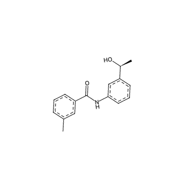 Cc1cccc(C(=O)Nc2cccc([C@H](C)O)c2)c1